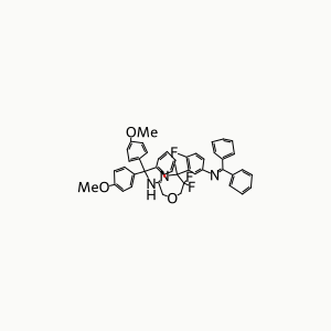 COc1ccc(C(NC2=NC(C)(c3cc(N=C(c4ccccc4)c4ccccc4)ccc3F)C(F)(F)COC2)(c2ccccc2)c2ccc(OC)cc2)cc1